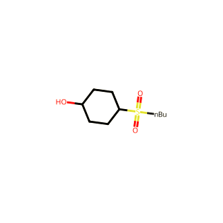 CCCCS(=O)(=O)C1CCC(O)CC1